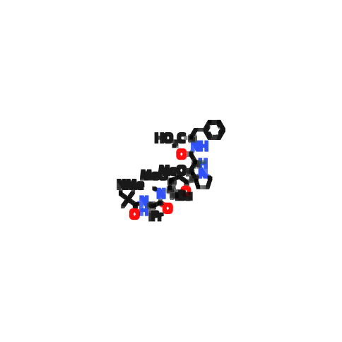 CC[C@H](C)[C@@H]([C@@H](CC(=O)[C@@]1([C@H](OC)[C@@H](C)C(=O)N[C@@H](Cc2ccccc2)C(=O)O)CCCN1)OC)N(C)C(=O)[C@@H](NC(=O)C(C)(C)CNC)C(C)C